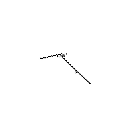 CCCCCCCCCCCCCCCCC(CO)NC(=O)CCCCCCCCCCCCCCC(=O)CCCCCCCCCCCCC